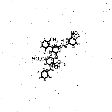 Cc1cccc(C)c1-c1cc(OC2CC(C(=O)O)CN(Cc3ccccc3)C2(C)C)nc(NSc2cccc([N+](=O)[O-])c2)n1